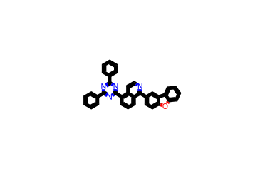 c1ccc(-c2nc(-c3ccccc3)nc(-c3cccc4c(-c5ccc6oc7ccccc7c6c5)nccc34)n2)cc1